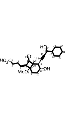 CCC1C(=CCCC(=O)O)[C@@]2(OC)CC[C@@H](O)[C@H](C#CC(O)C3CCCCC3)[C@@H]12